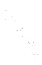 CC1(NSN2CCN(SNC3(C)CCCCC3)C2=O)CCCCC1